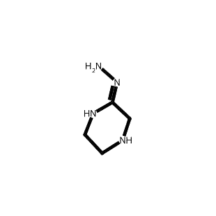 N/N=C1/CNCCN1